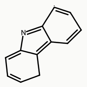 [c]1cccc2c1=NC1=CC=CCC=21